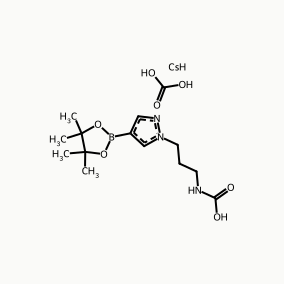 CC1(C)OB(c2cnn(CCCNC(=O)O)c2)OC1(C)C.O=C(O)O.[CsH]